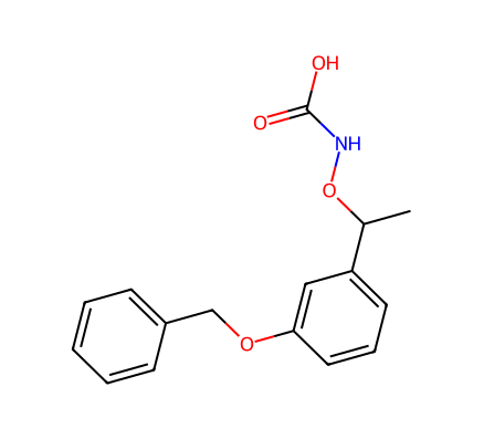 CC(ONC(=O)O)c1cccc(OCc2ccccc2)c1